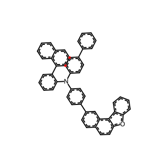 c1ccc(-c2ccc(N(c3ccc(-c4ccc5ccc6oc7ccccc7c6c5c4)cc3)c3ccccc3-c3cccc4ccccc34)cc2)cc1